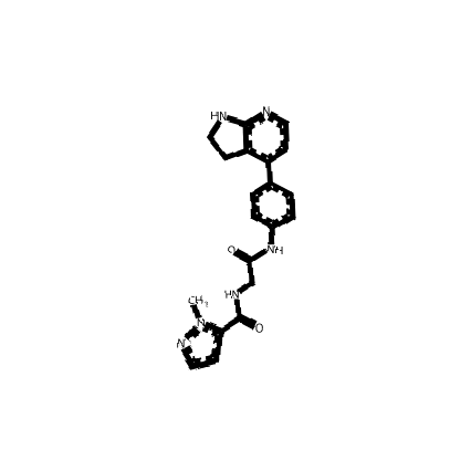 Cn1nccc1C(=O)NCC(=O)Nc1ccc(-c2ccnc3c2CCN3)cc1